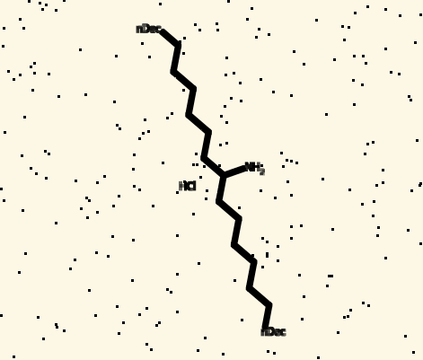 CCCCCCCCCCCCCCCCC(N)CCCCCCCCCCCCCCCC.Cl